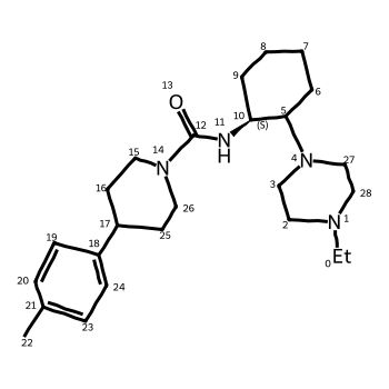 CCN1CCN(C2CCCC[C@@H]2NC(=O)N2CCC(c3ccc(C)cc3)CC2)CC1